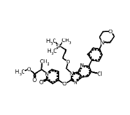 COC(=O)C(C)n1ccc(Oc2nc3cc(Cl)c(-c4ccc(N5CCOCC5)cc4)nc3n2COCC[Si](C)(C)C)cc1=O